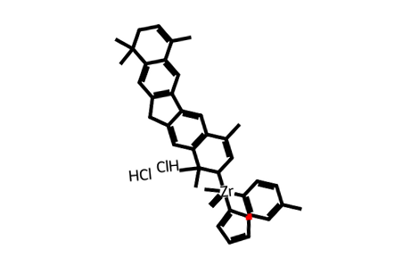 Cl.Cl.[CH2]=[Zr]([CH3])([C]1=CC=CC1)([c]1ccc(C)cc1)[CH]1C=C(C)c2cc3c(cc2C1(C)C)Cc1cc2c(cc1-3)C(C)=CCC2(C)C